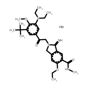 Br.CCOc1cc2c(cc1C(=O)NC)C(=N)N(CC(=O)c1cc(N(CC)CC)c(OC)c(C(C)(C)C)c1)C2